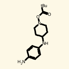 CC(C)(C)C(=O)ON1CCC(Nc2ccc(N)cc2)CC1